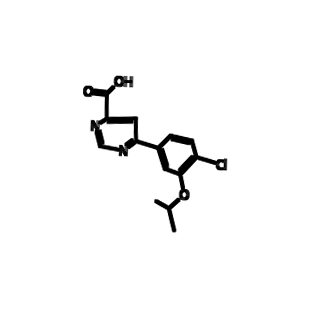 CC(C)Oc1cc(-c2cc(C(=O)O)ncn2)ccc1Cl